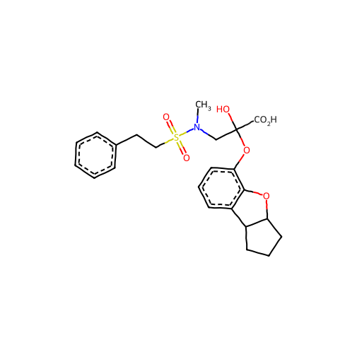 CN(CC(O)(Oc1cccc2c1OC1CCCC21)C(=O)O)S(=O)(=O)CCc1ccccc1